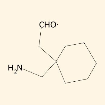 NCC1(C[C]=O)CCCCC1